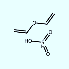 C=COC=C.O=[SH](=O)O